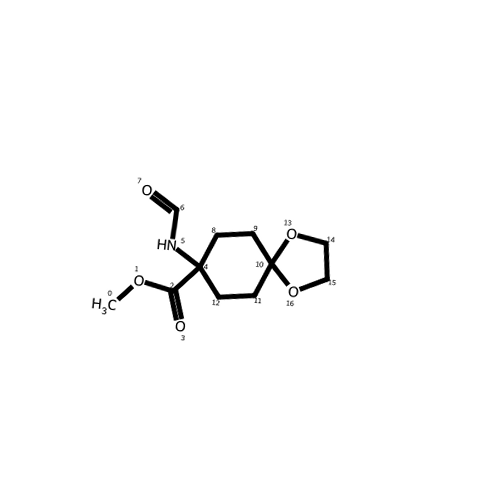 COC(=O)C1(NC=O)CCC2(CC1)OCCO2